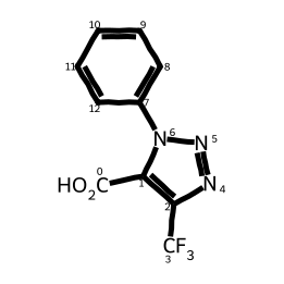 O=C(O)c1c(C(F)(F)F)nnn1-c1ccccc1